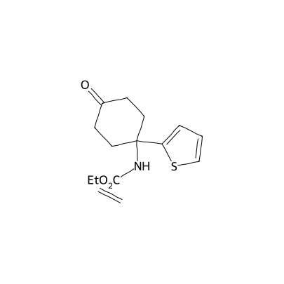 C=C.CCOC(=O)NC1(c2cccs2)CCC(=O)CC1